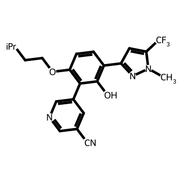 CC(C)CCOc1ccc(-c2cc(C(F)(F)F)n(C)n2)c(O)c1-c1cncc(C#N)c1